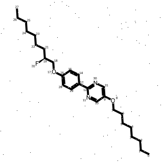 CCCCCCCCOc1cnc(-c2ccc(OC[C@@H](F)CCCCCCC)cc2)nc1